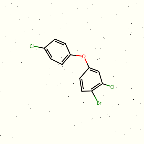 Clc1ccc(Oc2ccc(Br)c(Cl)c2)cc1